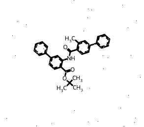 Cc1cc(-c2ccccc2)ccc1C(=O)Nc1cc(-c2ccccc2)ccc1C(=O)OC(C)(C)C